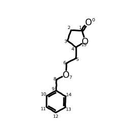 O=C1CCC(CCOCc2ccccc2)O1